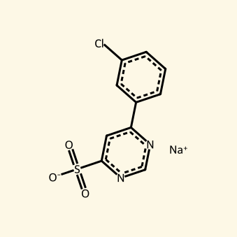 O=S(=O)([O-])c1cc(-c2cccc(Cl)c2)ncn1.[Na+]